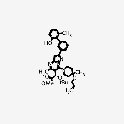 C=CCOC1(C)CCN(c2c([C@H](OC(C)(C)C)C(=O)OC)c(C)nc3cc(-c4cccc(-c5c(C)cccc5O)c4)nn23)CC1